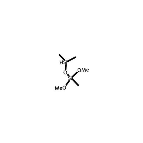 CO[Si](C)(OC)O[SiH](C)C